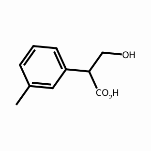 Cc1cccc(C(CO)C(=O)O)c1